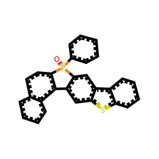 O=P1(c2ccccc2)c2cc3c(cc2-c2c1ccc1ccccc21)sc1ccccc13